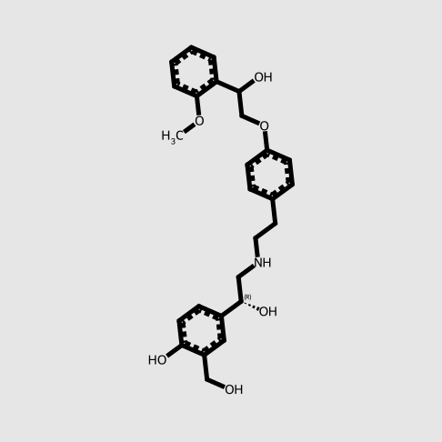 COc1ccccc1C(O)COc1ccc(CCNC[C@H](O)c2ccc(O)c(CO)c2)cc1